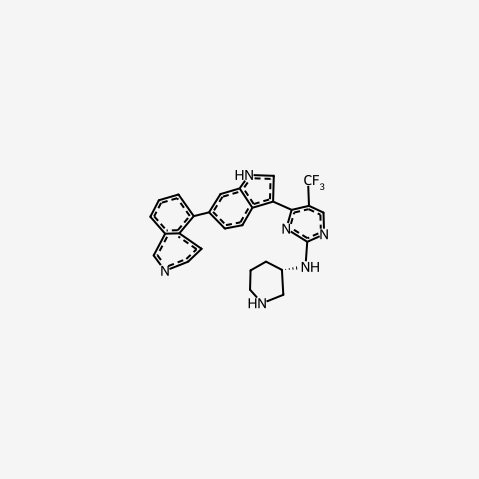 FC(F)(F)c1cnc(N[C@H]2CCCNC2)nc1-c1c[nH]c2cc(-c3cccc4cnccc34)ccc12